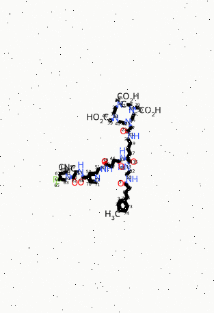 Cc1ccc(CCCC(=O)NCCNC(=O)C(CCCCNC(=O)CN2CCN(CC(=O)O)CCN(CC(=O)O)CCN(CC(=O)O)CC2)NC(=O)CCC(=O)NCc2cc(C(=O)N[C@@H](C)C(=O)N3CC(F)(F)C[C@H]3C#N)ccn2)cc1